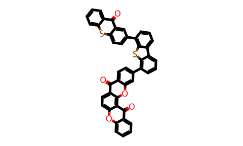 O=c1c2ccccc2sc2ccc(-c3cccc4c3sc3c(-c5ccc6c(=O)c7ccc8oc9ccccc9c(=O)c8c7oc6c5)cccc34)cc12